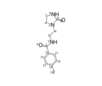 O=C(NCCN1CCNC1=O)c1ccc(I)cc1